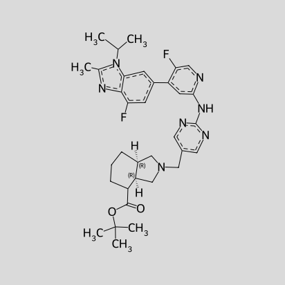 Cc1nc2c(F)cc(-c3cc(Nc4ncc(CN5C[C@@H]6CCCC(C(=O)OC(C)(C)C)[C@@H]6C5)cn4)ncc3F)cc2n1C(C)C